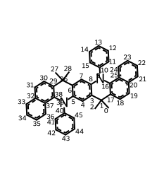 CC1(C)c2cc3c(cc2N(c2ccccc2)c2c1ccc1ccccc21)C(C)(C)c1ccc2ccccc2c1N3c1ccccc1